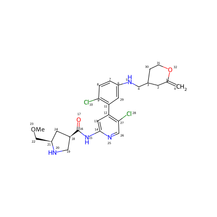 C=C1CC(CNc2ccc(Cl)c(-c3cc(NC(=O)[C@H]4CN[C@@H](COC)C4)ncc3Cl)c2)CCO1